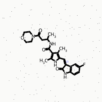 Cc1[nH]c(/C=C2\C(=O)Nc3ccc(F)cc32)c(C)c1C(=O)NC(C)CC(=O)N1CCOCC1